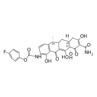 C[C@H]1c2ccc(NC(=O)Oc3ccc(F)cc3)c(O)c2C(=O)C2=C(O)[C@]3(O)C(=O)C(C(N)=O)=C(O)C[C@@H]3CC21